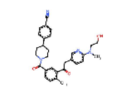 Cc1ccc(C(=O)N2CCC(c3ccc(C#N)cc3)CC2)cc1C(=O)Cc1ccc(N(C)CCO)nc1